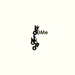 COc1cc(/C=C/c2nc3n(n2)CCCC3C2CCCN2c2ccccc2)ccc1-n1cnc(C)c1